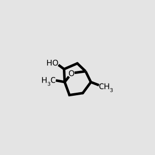 CC1CCC2(C)OC1CC2O